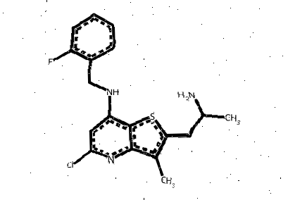 Cc1c(CC(C)N)sc2c(NCc3ccccc3F)cc(Cl)nc12